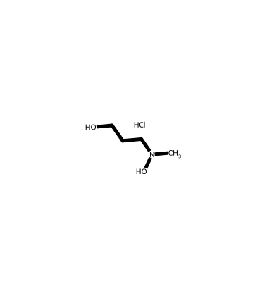 CN(O)CCCO.Cl